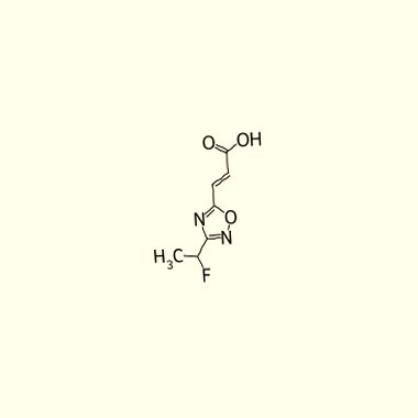 CC(F)c1noc(C=CC(=O)O)n1